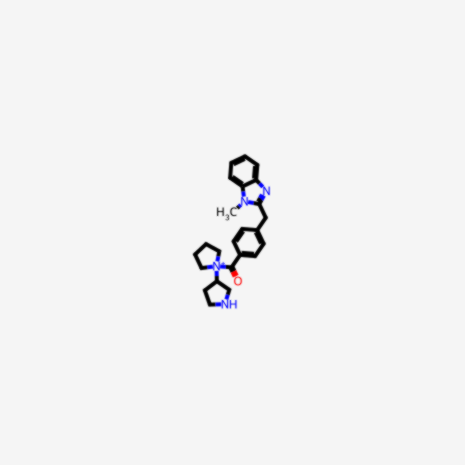 Cn1c(Cc2ccc(C(=O)[N+]3(C4CCNC4)CCCC3)cc2)nc2ccccc21